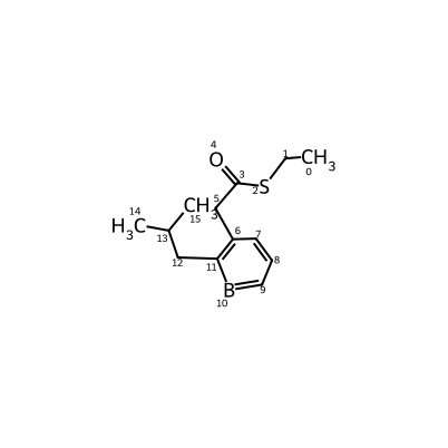 CCSC(=O)Cc1cccbc1CC(C)C